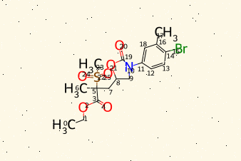 CCOC(=O)C(C)(CC1CN(c2ccc(Br)c(C)c2)C(=O)O1)S(C)(=O)=O